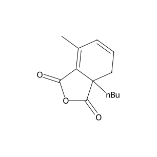 CCCCC12CC=CC(C)=C1C(=O)OC2=O